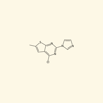 Cc1cc2c(Cl)nc(-n3ccnc3)nc2s1